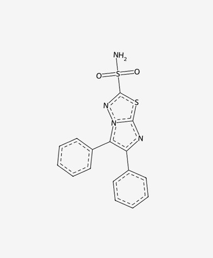 NS(=O)(=O)c1nn2c(-c3ccccc3)c(-c3ccccc3)nc2s1